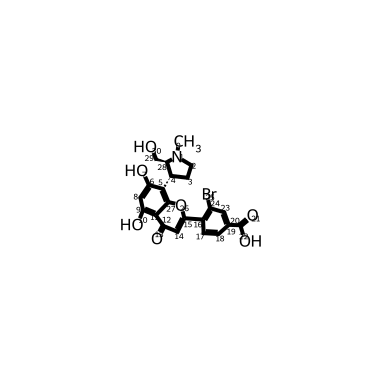 CN1CC[C@H](c2c(O)cc(O)c3c(=O)cc(-c4ccc(C(=O)O)cc4Br)oc23)[C@H]1CO